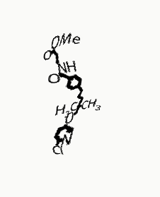 COC(=O)CCNC(=O)c1ccc(CCCC(C)(C)COc2ccc(Cl)nc2)cc1